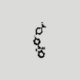 CC(=O)N1CCC(Oc2ccc(-c3nc4ccccc4[nH]3)cc2)CC1